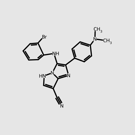 CN(C)c1ccc(-c2nc3c(C#N)c[nH]n3c2Nc2ccccc2Br)cc1